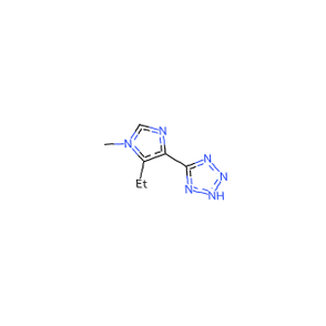 CCc1c(-c2nn[nH]n2)ncn1C